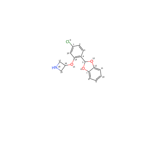 Clc1ccc(C2Oc3c[c]ccc3O2)c(OC2CNC2)c1